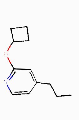 CCCc1ccnc(OC2CCC2)c1